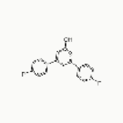 Oc1cc(-c2ccc(F)cc2)cc(-c2ccc(F)cc2)c1